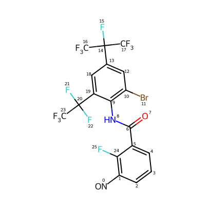 O=Nc1cccc(C(=O)Nc2c(Br)cc(C(F)(C(F)(F)F)C(F)(F)F)cc2C(F)(F)C(F)(F)F)c1F